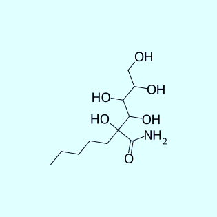 CCCCCC(O)(C(N)=O)C(O)C(O)C(O)CO